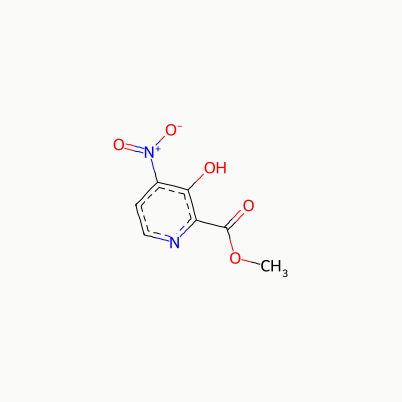 COC(=O)c1nccc([N+](=O)[O-])c1O